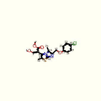 COC=C(C(=O)OC)c1c(C)sc2nc(COc3ccc(Cl)cc3)c(C)n12